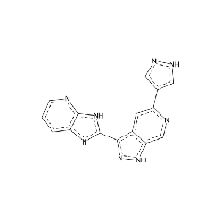 c1cnc2[nH]c(-c3n[nH]c4cnc(-c5cn[nH]c5)cc34)nc2c1